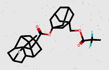 CC(F)(F)C(=O)OCC12CC3CC(C1)CC(OC(=O)C14CC5C6CC7CC5C(C1)C(C)(C7)C6C4)(C3)C2